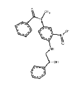 CN(C(=O)c1ccccc1)c1ccc(NC[C@H](O)c2ccccc2)c([N+](=O)[O-])c1